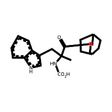 CC(Cc1c[nH]c2ccccc12)(NC(=O)O)C(=O)N1CC2CCC(CC2)C1